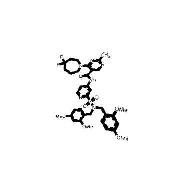 COc1ccc(CN(Cc2ccc(OC)cc2OC)S(=O)(=O)c2cc(NC(=O)c3cnc(C)nc3N3CCCC(F)(F)CC3)ccn2)c(OC)c1